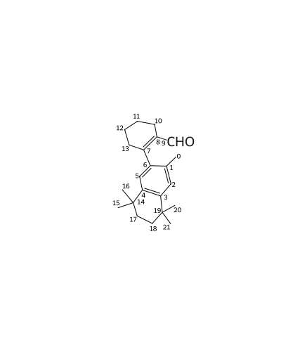 Cc1cc2c(cc1C1=C(C=O)CCCC1)C(C)(C)CCC2(C)C